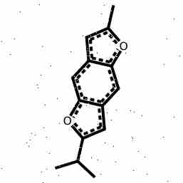 Cc1cc2cc3oc(C(C)C)cc3cc2o1